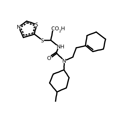 CC1CCC(N(CCC2=CCCCC2)C(=O)NC(Sc2cncs2)C(=O)O)CC1